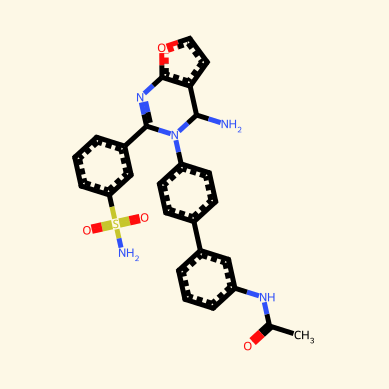 CC(=O)Nc1cccc(-c2ccc(N3C(c4cccc(S(N)(=O)=O)c4)=Nc4occc4C3N)cc2)c1